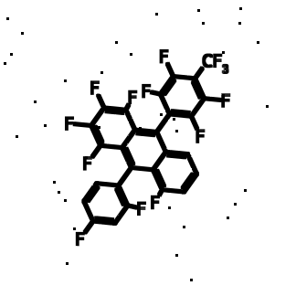 Fc1ccc(-c2c3c(F)cccc3c(-c3c(F)c(F)c(C(F)(F)F)c(F)c3F)c3c(F)c(F)c(F)c(F)c23)c(F)c1